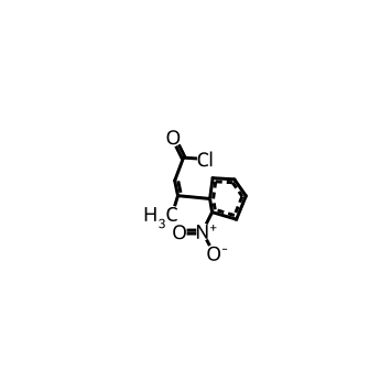 C/C(=C/C(=O)Cl)c1ccccc1[N+](=O)[O-]